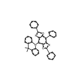 CC1(C)c2ccccc2N(c2c3nc(-c4ccccc4)oc3c(-c3ccccc3)c3nc(-c4ccccc4)oc23)c2ccccc21